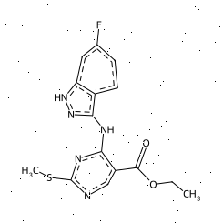 CCOC(=O)c1cnc(SC)nc1Nc1n[nH]c2cc(F)ccc12